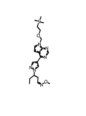 CCC(C/C=N\OC)n1cc(-c2ncnc3c2ccn3COCC[Si](C)(C)C)cn1